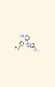 Cc1cccc(-c2nc3cc(CN)ccn3c2-c2ccnc(N)n2)n1